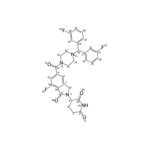 O=C1CCC(N2Cc3cc(C(=O)N4CCN(C(c5cccc(F)c5)c5cccc(F)c5)CC4)cc(F)c3C2=O)C(=O)N1